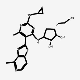 Cc1nc(NC2CC2)nc(NC2C[C@H](CCO)[C@@H](O)[C@H]2O)c1-c1nc2c(C)nccc2s1